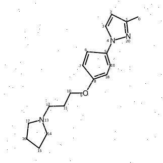 Cc1ccn(-c2ccc(OCCCN3CCCC3)cc2)n1